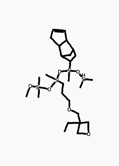 CCC1(COCCC[Si](C)(O[Si](C)(C)OC)O[Si](C)(O[SiH](C)C)C2CC3CC2C2CC=CC32)COC1